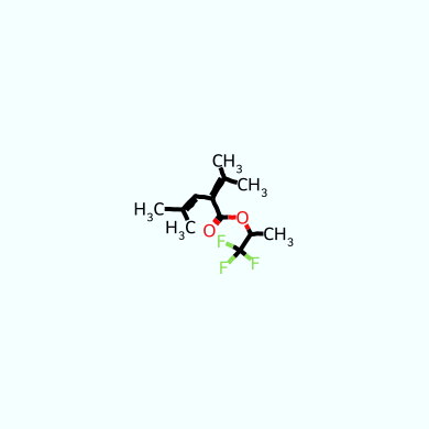 CC(C)=CC(C(=O)OC(C)C(F)(F)F)=C(C)C